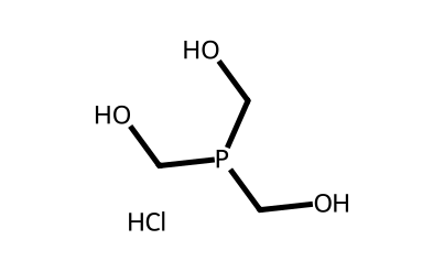 Cl.OCP(CO)CO